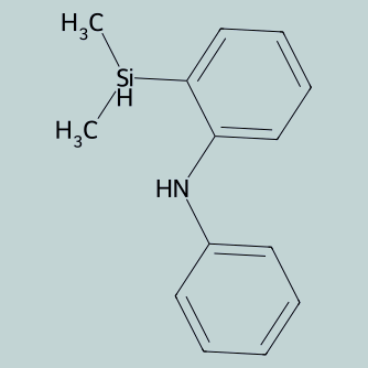 C[SiH](C)c1ccccc1Nc1ccccc1